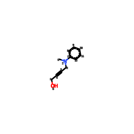 CN(CC#CCO)c1ccccc1